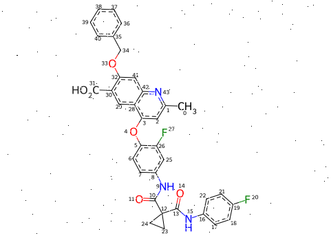 Cc1cc(Oc2ccc(NC(=O)C3(C(=O)Nc4ccc(F)cc4)CC3)cc2F)c2cc(C(=O)O)c(OCc3ccccc3)cc2n1